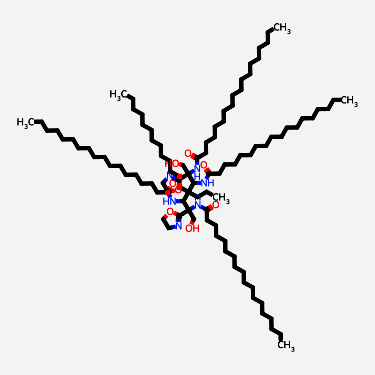 C[CH]CC(CCCCCCCCCCCCC)(C(NC(=O)CCCCCCCCCCCCCCCCC)C(CO)(NC(=O)CCCCCCCCCCCCCCCCC)C1=NCCO1)C(NC(=O)CCCCCCCCCCCCCCCCC)C(CO)(NC(=O)CCCCCCCCCCCCCCCCC)C1=NCCO1